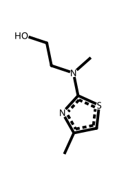 Cc1csc(N(C)CCO)n1